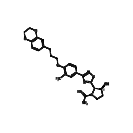 N=C(N)N1CC[C@H](O)C1c1nc(-c2ccc(OCCCc3ccc4c(c3)OCCO4)c(C(F)(F)F)c2)no1